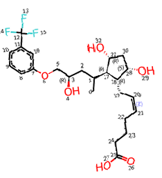 CC(C[C@@H](O)COc1cccc(C(F)(F)F)c1)[C@@H]1[C@@H](C/C=C\CCCC(=O)O)[C@@H](O)C[C@H]1O